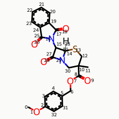 COc1ccc(COC(=O)C2(C)CS[C@@H]3C(N4C(=O)c5ccccc5C4=O)C(=O)N3C2)cc1